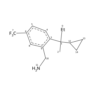 [CH2]CC(C)(c1ccc(C(F)(F)F)cc1CN)C1CC1